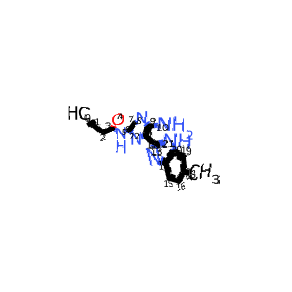 C#CCC(=O)Nc1cnc(N)c(-c2nc3ccc(C)cc3[nH]2)n1